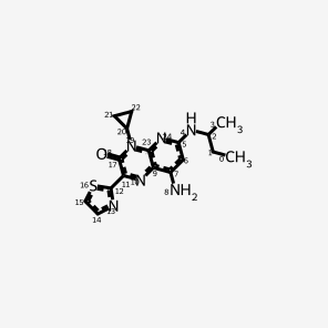 CCC(C)Nc1cc(N)c2nc(-c3nccs3)c(=O)n(C3CC3)c2n1